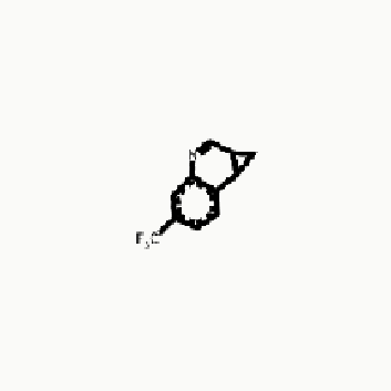 FC(F)(F)c1ccc2c(c1)N=CC1CC21